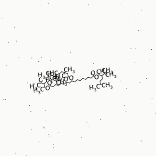 CC(C)CCC(C(C)C)C(C)OC(=O)CCCCCCCC(CCCCCCCC(=O)OC(C)C(CCC(C)C)C(C)C)OC(=O)CC(C)(C)CC(C)CN(C)C